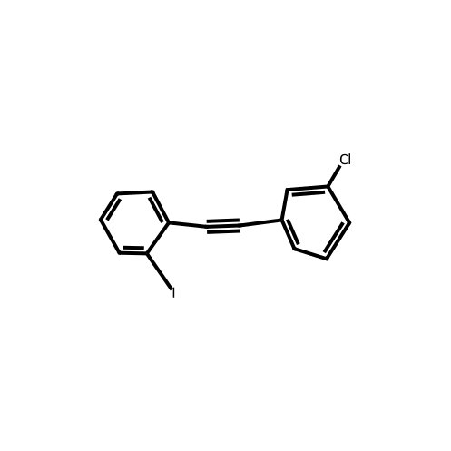 Clc1cccc(C#Cc2ccccc2I)c1